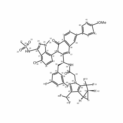 COc1ncc(-c2ccc3c(=O)n(-c4ccc(Cl)c5c(NS(C)(=O)=O)nn(C)c45)c([C@H](Cc4cc(F)cc(F)c4)NC(=O)Cn4nc(C(F)F)c5c4C(F)(F)[C@@H]4C[C@H]54)nc3c2)cn1